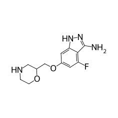 Nc1n[nH]c2cc(OCC3CNCCO3)cc(F)c12